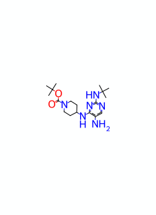 CC(C)(C)Nc1ncc(N)c(NC2CCN(C(=O)OC(C)(C)C)CC2)n1